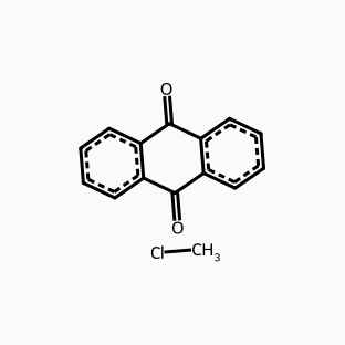 CCl.O=C1c2ccccc2C(=O)c2ccccc21